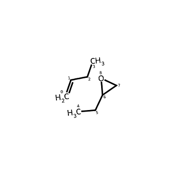 C=CCC.CCC1CO1